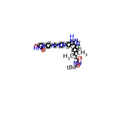 Cc1c([C@@H](C)CCC(=O)c2noc(C(C)(C)C)n2)ccc(-c2ncnc3[nH]c4cc(N5CCN(C6CN(c7ccc(N8CCC(=O)NC8=O)cc7)C6)CC5)ccc4c23)c1F